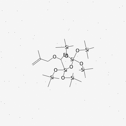 C=C(C)COC(CC)[Si](O[Si](C)(C)C)(O[Si](C)(C)C)O[Si](O[Si](C)(C)C)(O[Si](C)(C)C)O[Si](C)(C)C